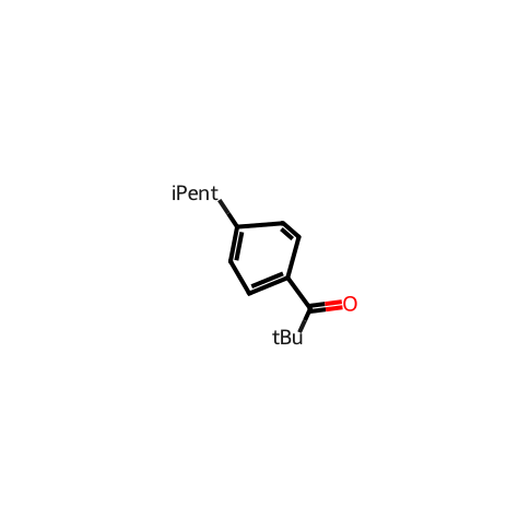 CCCC(C)c1ccc(C(=O)C(C)(C)C)cc1